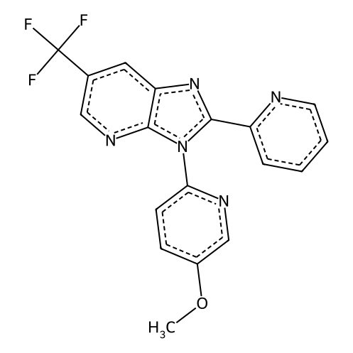 COc1ccc(-n2c(-c3ccccn3)nc3cc(C(F)(F)F)cnc32)nc1